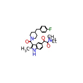 CCN(C)C(=O)C(=O)c1ccc2[nH]c(C)c(C(=O)N3CCC(Cc4ccc(F)cc4)CC3)c2c1